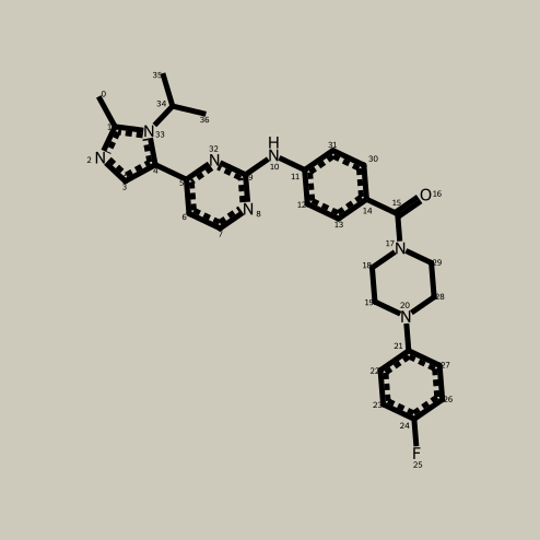 Cc1ncc(-c2ccnc(Nc3ccc(C(=O)N4CCN(c5ccc(F)cc5)CC4)cc3)n2)n1C(C)C